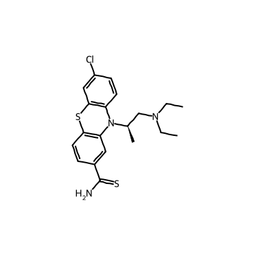 CCN(CC)C[C@@H](C)N1c2ccc(Cl)cc2Sc2ccc(C(N)=S)cc21